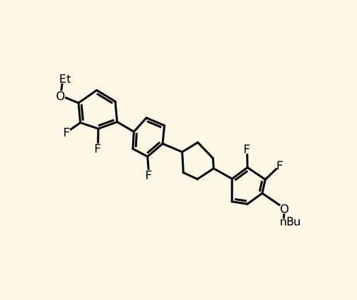 CCCCOc1ccc(C2CCC(c3ccc(-c4ccc(OCC)c(F)c4F)cc3F)CC2)c(F)c1F